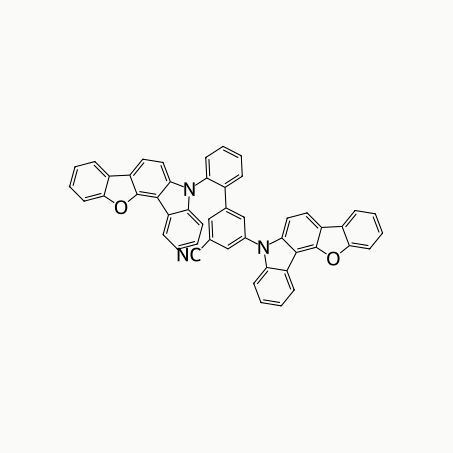 N#Cc1cc(-c2ccccc2-n2c3ccccc3c3c4oc5ccccc5c4ccc32)cc(-n2c3ccccc3c3c4oc5ccccc5c4ccc32)c1